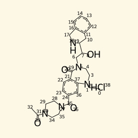 CCN1CCN(CC(O)C2Cc3ccccc3CN2)C(=O)c2ccc(C(=O)N3CCN(C(C)=O)CC3)cc21.Cl